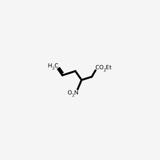 C=CCC(CC(=O)OCC)[N+](=O)[O-]